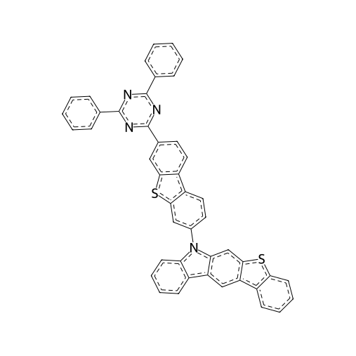 c1ccc(-c2nc(-c3ccccc3)nc(-c3ccc4c(c3)sc3cc(-n5c6ccccc6c6cc7c(cc65)sc5ccccc57)ccc34)n2)cc1